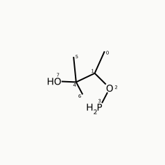 CC(OP)C(C)(C)O